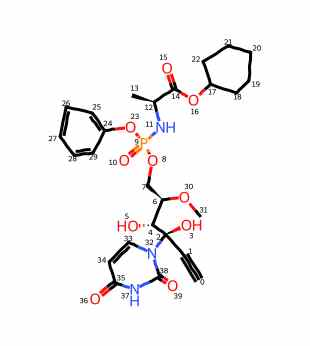 C#C[C@@](O)([C@H](O)[C@@H](COP(=O)(N[C@@H](C)C(=O)OC1CCCCC1)Oc1ccccc1)OC)n1ccc(=O)[nH]c1=O